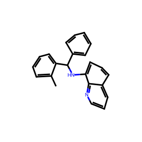 Cc1ccccc1C(Nc1cccc2cccnc12)c1ccccc1